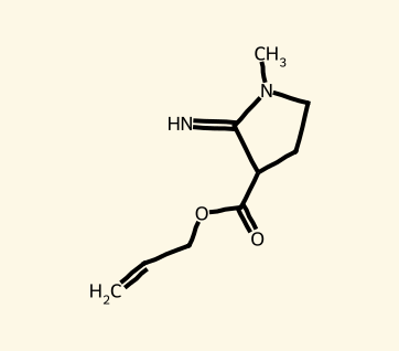 C=CCOC(=O)C1CCN(C)C1=N